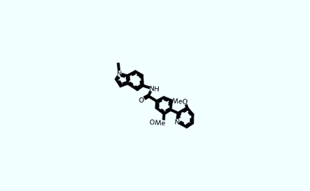 COc1cc(C(=O)Nc2ccc3c(ccn3C)c2)ccc1-c1ncccc1OC